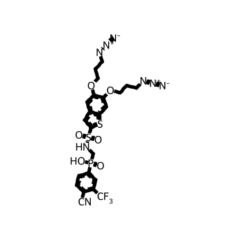 N#Cc1ccc(P(=O)(O)CNS(=O)(=O)c2cc3cc(OCCCN=[N+]=[N-])c(OCCCN=[N+]=[N-])cc3s2)cc1C(F)(F)F